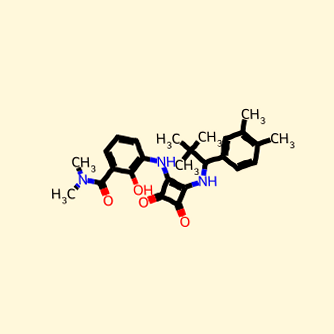 Cc1ccc(C(Nc2c(Nc3cccc(C(=O)N(C)C)c3O)c(=O)c2=O)C(C)(C)C)cc1C